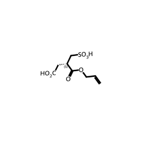 C=CCOC(=O)[C@H](CC(=O)O)CS(=O)(=O)O